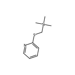 C[Si](C)(C)CSc1ccccn1